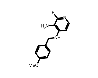 COc1ccc(CNc2ccnc(F)c2N)cc1